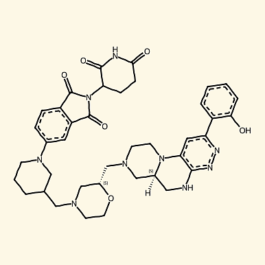 O=C1CCC(N2C(=O)c3ccc(N4CCCC(CN5CCO[C@@H](CN6CCN7c8cc(-c9ccccc9O)nnc8NC[C@H]7C6)C5)C4)cc3C2=O)C(=O)N1